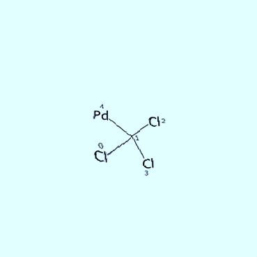 Cl[C](Cl)(Cl)[Pd]